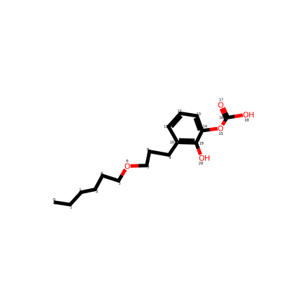 CCCCCCOCCCc1cccc(OC(=O)O)c1O